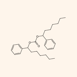 CCCCCCC(OC(=O)OC(CCCCCC)c1ccccc1)c1ccccc1